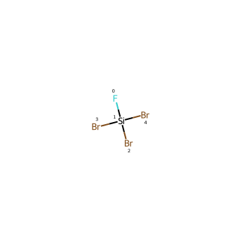 F[Si](Br)(Br)Br